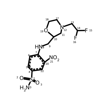 NS(=O)(=O)c1ccc(NCC2CN(CC(F)F)CCO2)c([N+](=O)[O-])c1